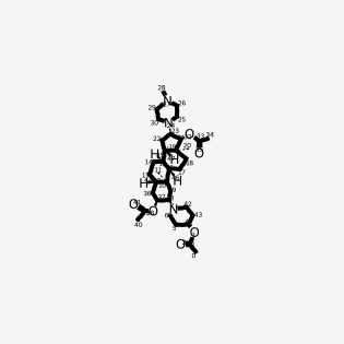 CC(=O)OC1CCN([C@H]2C[C@@]3(C)[C@@H](CC[C@@H]4[C@@H]3CC[C@@]3(C)[C@H]4C[C@H](N4CCN(C)CC4)[C@@H]3OC(C)=O)C[C@@H]2OC(C)=O)CC1